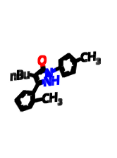 CCCCc1c(-c2ccccc2C)[nH]n(-c2ccc(C)cc2)c1=O